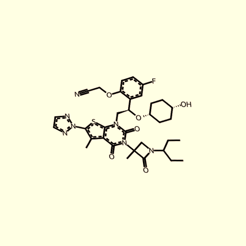 CCC(CC)N1CC(C)(n2c(=O)c3c(C)c(-n4nccn4)sc3n(C[C@H](O[C@H]3CC[C@@H](O)CC3)c3cc(F)ccc3OCC#N)c2=O)C1=O